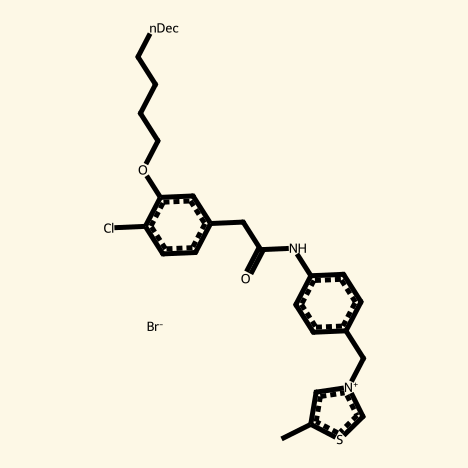 CCCCCCCCCCCCCCOc1cc(CC(=O)Nc2ccc(C[n+]3csc(C)c3)cc2)ccc1Cl.[Br-]